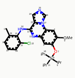 COc1cc2c(cc1O[Si](C(C)C)(C(C)C)C(C)C)nc(Nc1c(C)cccc1Cl)c1cncn12